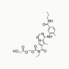 CCCNC(=O)c1ccc(C)c(Nc2ncnn3cc(C(=O)N(CC)C(=O)OCOC(=O)CO)c(C)c23)c1